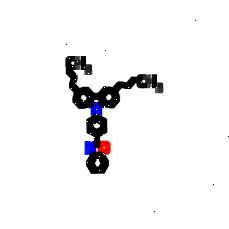 CCCCc1ccc2c(c1)c1cc(CCCC)ccc1n2-c1ccc(-c2nc3ccccc3o2)cc1